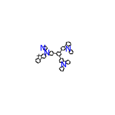 CC1(C)c2ccccc2-c2ccc(N(c3ccc(-c4cc(-c5ccc6c(c5)c5ccccc5n6-c5ccccc5)cc(-c5ccc6c7ccccc7n(-c7ccccc7)c6c5)c4)cc3)c3cccnc3)cc21